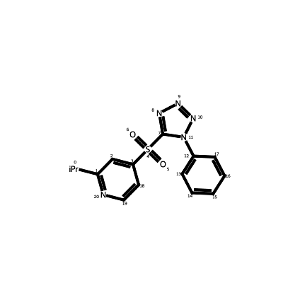 CC(C)c1cc(S(=O)(=O)c2nnnn2-c2ccccc2)ccn1